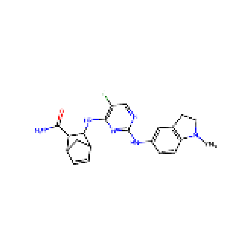 CN1CCc2cc(Nc3ncc(F)c(NC4C5C=CC(C5)C4C(N)=O)n3)ccc21